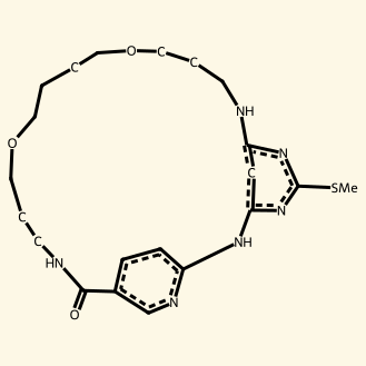 CSc1nc2cc(n1)Nc1ccc(cn1)C(=O)NCCCOCCCCOCCCN2